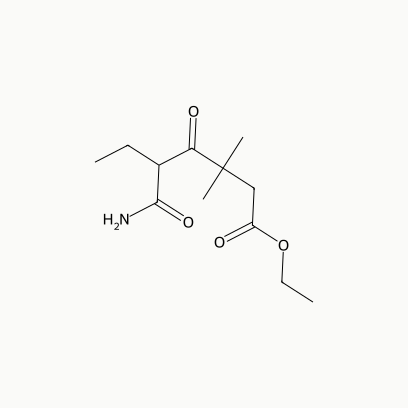 CCOC(=O)CC(C)(C)C(=O)C(CC)C(N)=O